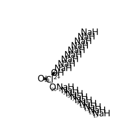 [NaH].[NaH].[NaH].[NaH].[NaH].[NaH].[NaH].[NaH].[NaH].[NaH].[NaH].[NaH].[NaH].[NaH].[NaH].[NaH].[NaH].[NaH].[O-][Cl+2]([O-])O